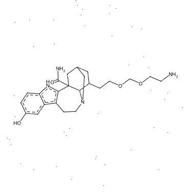 NCCOCOCCC1CC2CN3CCc4c([nH]c5ccc(O)cc45)C(C(N)=O)(C2)C13